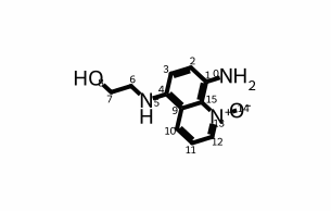 Nc1ccc(NCCO)c2ccc[n+]([O-])c12